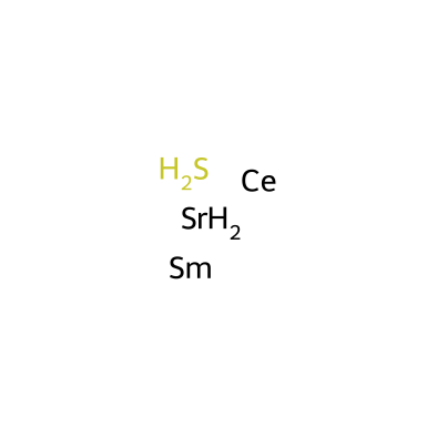 S.[Ce].[Sm].[SrH2]